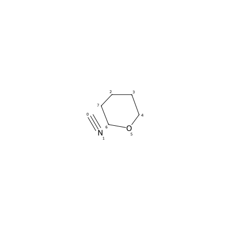 C#N.C1CCOCC1